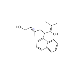 CC(C)=C(O)C(C/C(C)=C/CO)c1cccc2ccccc12